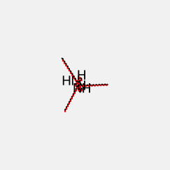 CCCCCCCCCCCCCCCCCCNc1ccc(C(NCCCCCCCCCCCCCCCCCC)c2ccccc2)cc1C(NCCCCCCCCCCCCCCCCCC)c1ccccc1